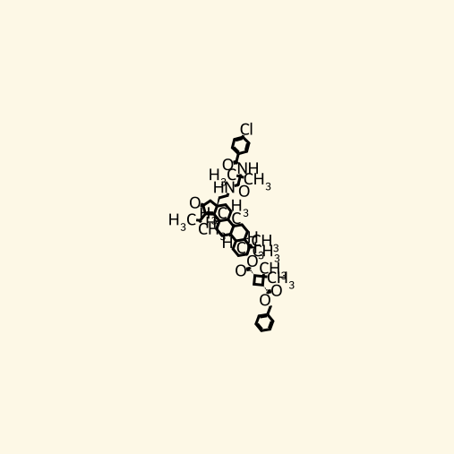 CC(C)C1=C2[C@H]3CC[C@@H]4[C@@]5(C)CC[C@H](OC(=O)[C@H]6C[C@@H](C(=O)OCc7ccccc7)C6(C)C)C(C)(C)[C@@H]5CC[C@@]4(C)[C@]3(C)CC[C@@]2(CCNC(=O)C(C)(C)NC(=O)c2ccc(Cl)cc2)CC1=O